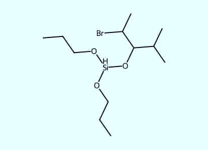 CCCO[SiH](OCCC)OC(C(C)C)C(C)Br